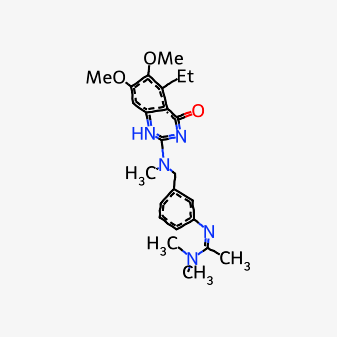 CCc1c(OC)c(OC)cc2[nH]c(N(C)Cc3cccc(N=C(C)N(C)C)c3)nc(=O)c12